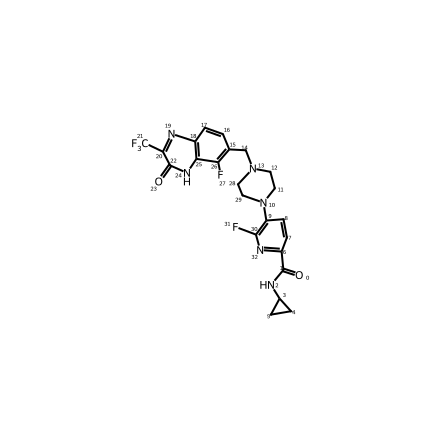 O=C(NC1CC1)c1ccc(N2CCN(Cc3ccc4nc(C(F)(F)F)c(=O)[nH]c4c3F)CC2)c(F)n1